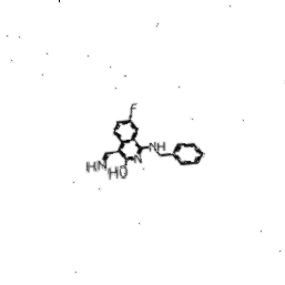 N=Cc1c(O)nc(NCc2ccccc2)c2cc(F)ccc12